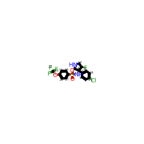 O=S(=O)(N[C@]1(c2ccc(Cl)cc2)CNC[C@H]1F)c1ccc(OC(F)(F)F)cc1